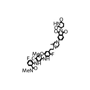 CNC(=O)c1ccccc1Nc1cc(Nc2cc(F)c(CCN3CCN(c4ccc5c(c4)C(=O)N(C4CCC(=O)NC4=O)C5=O)C[C@@H]3C)cc2OC)ncc1C(F)(F)F